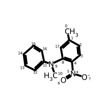 Cc1ccc([N+](=O)[O-])c(N(C)c2ccccc2)c1